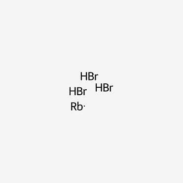 Br.Br.Br.[Rb]